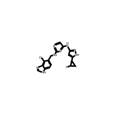 FC1CC1c1cc(Nc2ccnc(NCc3ccc4[nH]cnc4c3Cl)n2)n[nH]1